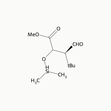 COC(=O)C(O[SiH](C)C)[C@@H](C=O)C(C)(C)C